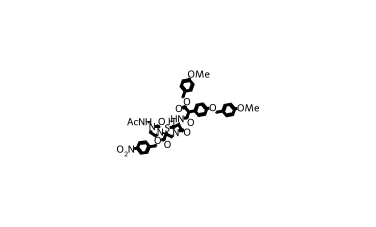 COc1ccc(COC(=O)C(C(=O)N[C@@H]2C(=O)N3C[C@@](C(=O)OCc4ccc([N+](=O)[O-])cc4)(N4CCN(NC(C)=O)C4=O)S[C@H]23)c2ccc(OCc3ccc(OC)cc3)cc2)cc1